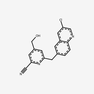 N#Cc1cc(CO)cc(Cc2ccc3ncc(Cl)cc3c2)n1